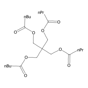 CCCCC(=O)OCC(COC(=O)CCC)(COC(=O)CCC)COC(=O)CCCC